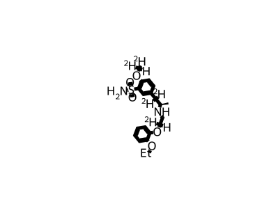 [2H]C([2H])([2H])Oc1ccc(C([2H])([2H])[C@@H](C)NCC([2H])([2H])Oc2ccccc2OCC)cc1S(N)(=O)=O